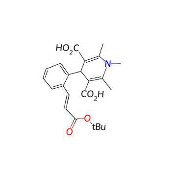 CC1=C(C(=O)O)C(c2ccccc2C=CC(=O)OC(C)(C)C)C(C(=O)O)=C(C)N1C